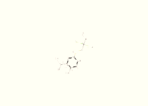 CCC(F)(F)CSc1ccc(C)c(C(C)C)c1